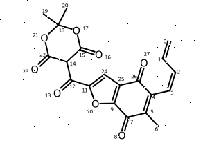 C=C/C=C\C1=C(C)C(=O)c2oc(C(=O)C3C(=O)OC(C)(C)OC3=O)cc2C1=O